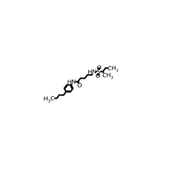 CCCCc1ccc(NC(=O)CCCCNS(=O)(=O)C(C)CC)cc1